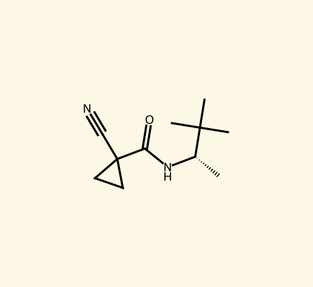 C[C@H](NC(=O)C1(C#N)CC1)C(C)(C)C